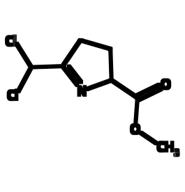 COC(=O)C1CCC(C(Cl)Cl)=N1